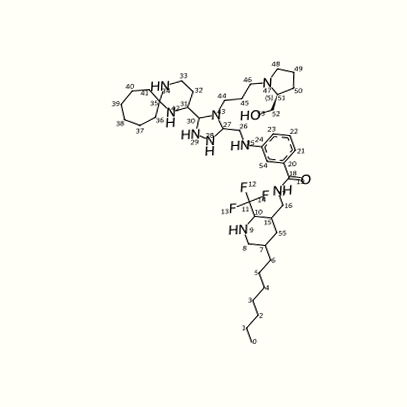 CCCCCCCC1CNC(C(F)(F)F)C(CNC(=O)c2cccc(NCC3NNC(C4CCNC5(CCCCCC5)N4)N3CCCN3CCC[C@H]3CO)c2)C1